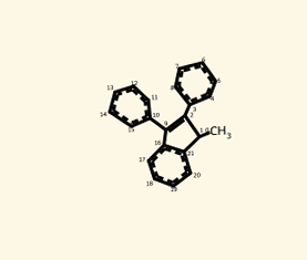 CC1C(c2ccccc2)=C(c2ccccc2)c2ccccc21